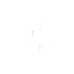 C=NC(=C)NC(C)CC